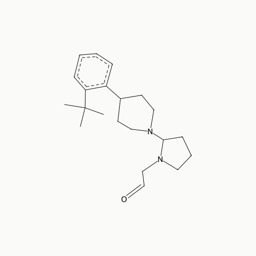 CC(C)(C)c1ccccc1C1CCN(C2CCCN2CC=O)CC1